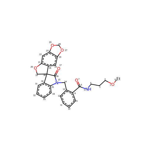 CCOCCCNC(=O)c1ccccc1CN1C(=O)C2(COc3cc4c(cc32)OCO4)c2ccccc21